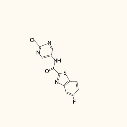 O=C(Nc1cnc(Cl)nc1)c1nc2cc(F)ccc2s1